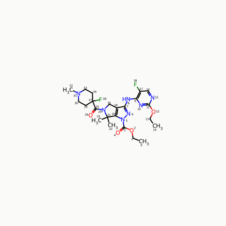 CCOC(=O)n1nc(Nc2nc(OCC)ncc2F)c2c1C(C)(C)N(C(=O)C1(F)CCN(C)CC1)C2